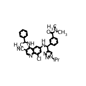 CC(Nc1c(C#N)cnc2c(Cl)cc(NC(c3cccc(C(=O)N(C)C)c3)c3cn(C(C)C)nn3)cc12)c1ccccc1